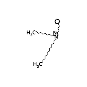 CCCCCCCCCCCCCCn1cc(CCCc2ccccc2)nc1CCCCCCCCC